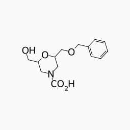 O=C(O)N1CC(CO)OC(COCc2ccccc2)C1